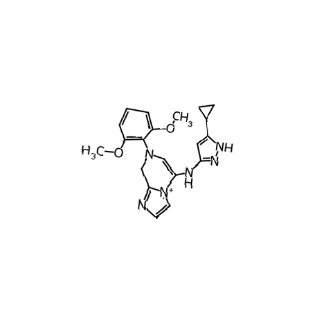 COc1cccc(OC)c1N1C=C(Nc2cc(C3CC3)[nH]n2)[N+]2C=CN=C2C1